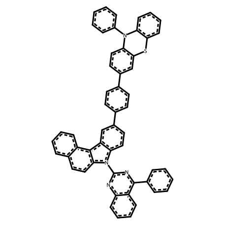 c1ccc(-c2nc(-n3c4ccc(-c5ccc(-c6ccc7c(c6)Sc6ccccc6N7c6ccccc6)cc5)cc4c4c5ccccc5ccc43)nc3ccccc23)cc1